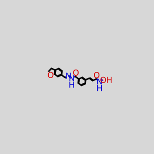 O=C(/C=C/c1cccc(C(=O)N/N=C/c2ccc3c(c2)OCC3)c1)NO